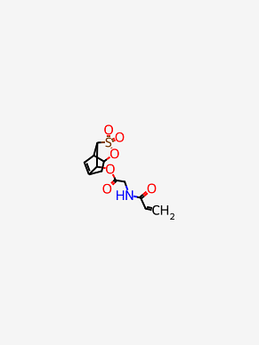 C=CC(=O)NCC(=O)OC1C2=CC3C(C2)OS(=O)(=O)C13